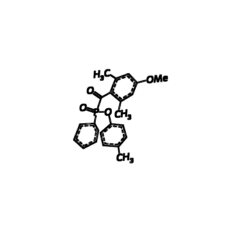 COc1cc(C)c(C(=O)P(=O)(Oc2ccc(C)cc2)c2ccccc2)c(C)c1